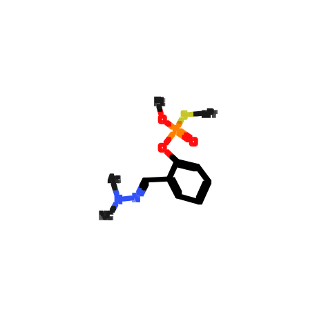 CCCSP(=O)(OCC)Oc1ccccc1C=NN(C#N)C(C)=O